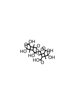 CC1(C(=O)O)C(C(=O)O)C(C)(C(=O)OC(=O)C2(C)C(C(=O)O)C(C)(C(=O)O)C2C(=O)O)C1C(=O)O